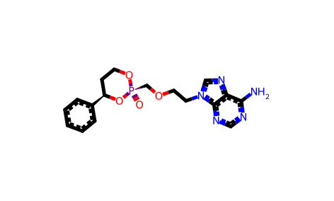 Nc1ncnc2c1ncn2CCOC[P@]1(=O)OCC[C@H](c2ccccc2)O1